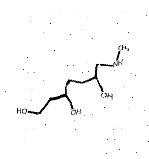 CNCC(O)CC(O)CCO